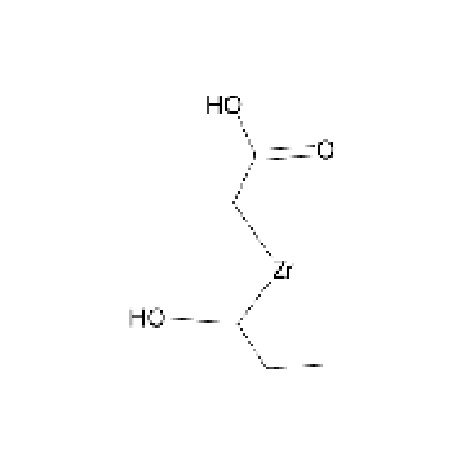 CC[CH](O)[Zr][CH2]C(=O)O